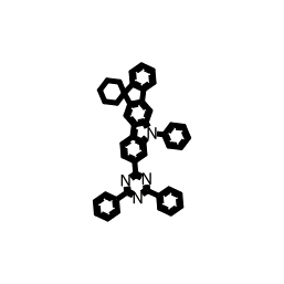 c1ccc(-c2nc(-c3ccccc3)nc(-c3ccc4c5cc6c(cc5n(-c5ccccc5)c4c3)-c3ccccc3C63CCCCC3)n2)cc1